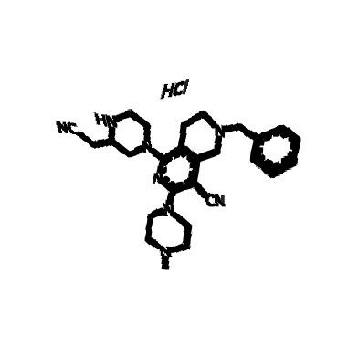 CN1CCN(c2nc(N3CCNC(CC#N)C3)c3c(c2C#N)CN(Cc2ccccc2)CC3)CC1.Cl